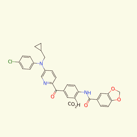 O=C(Nc1ccc(C(=O)c2ccc(N(CC3CC3)c3ccc(Cl)cc3)cn2)cc1C(=O)O)c1ccc2c(c1)OCO2